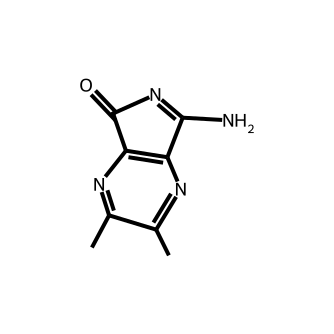 Cc1nc2c(nc1C)C(N)=NC2=O